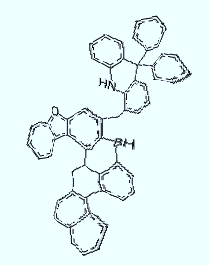 B1c2cccc3c2C(Cc2ccc4ccccc4c2-3)c2c1c(-c1cccc3c1Nc1ccccc1C3(c1ccccc1)c1ccccc1)cc1oc3ccccc3c21